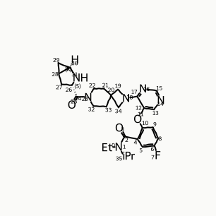 CCN(C(=O)c1cc(F)ccc1Oc1cncnc1N1CC2(CCN(C(=O)[C@@H]3CC4C[C@H]4N3)CC2)C1)C(C)C